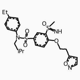 CCc1ccc(N(CC(C)C)S(=O)(=O)c2ccc(OCCc3ccno3)c(S(C)(=N)=O)c2)cc1